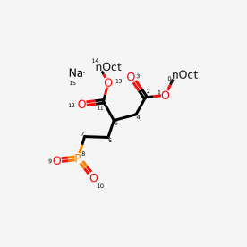 CCCCCCCCOC(=O)CC(CCP(=O)=O)C(=O)OCCCCCCCC.[Na]